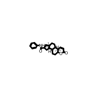 C[C@]12CC[C@@H]3[C@@H](CCC4OC(=O)C=C[C@@]43C)[C@@H]1CC(C(=O)Nc1ccccc1)C2